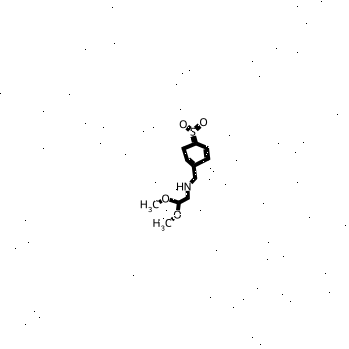 COC(CNCC1=CCC(=S(=O)=O)C=C1)OC